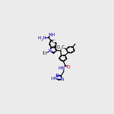 CCn1cc(Cc2ccc(C(=O)NCc3nc[nH]n3)cc2-c2ccc(C)cc2C(=O)O)c2ccc(C(=N)N)cc21